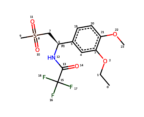 CCOc1cc([C@H](CS(C)(=O)=O)NC(=O)C(F)(F)F)ccc1OC